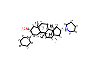 C[C@]12CC[C@H]3[C@@H](CC[C@H]4C[C@H](O)[C@@H](N5CCCCC5)C[C@@]43C)[C@@H]1C[C@H](N1CCCCC1)C2